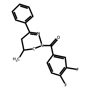 CC1CC(c2ccccc2)=NN(C(=O)c2ccc(F)c(F)c2)C1